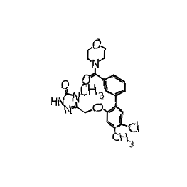 Cc1cc(OCc2n[nH]c(=O)n2C)c(-c2cccc(C(=O)N3CCOCC3)c2)cc1Cl